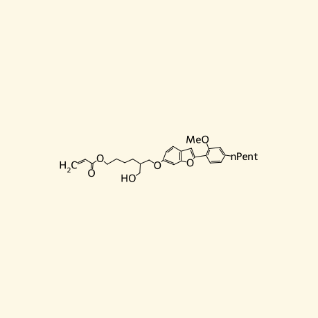 C=CC(=O)OCCCCC(CO)COc1ccc2cc(-c3ccc(CCCCC)cc3OC)oc2c1